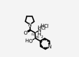 Cl.Cl.N[C@H](C(=O)N1CCCC1)[C@H](O)c1ccncc1